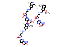 Cc1ncc(F)c2c1CC(CNCCC1CN(c3ccc4c(n3)NC(=O)CO4)C(=O)O1)C2.N#Cc1cccc2c1CC(CNCCC1CN(c3cnc4c(n3)NC(=O)CO4)C(=O)O1)C2OC=O.N#Cc1ncc(F)c2c1CC(CNCCC1CN(c3ccc4c(n3)NC(=O)CO4)C(=O)O1)C2